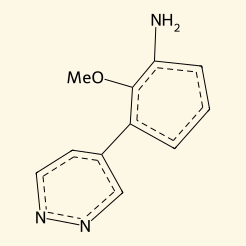 COc1c(N)cccc1-c1ccnnc1